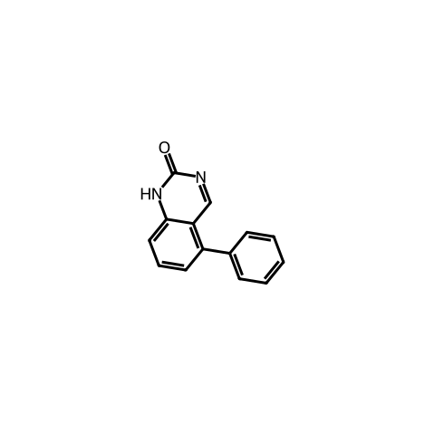 O=c1ncc2c(-c3ccccc3)cccc2[nH]1